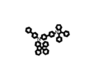 C1=CCCC(C2(c3ccccc3)C3=C(C=CCC3)c3ccc(N(c4ccc(-c5ccccc5)cc4)c4ccc(-c5ccc(N6C7=CCCC=C7C(c7ccccc7)C6c6ccccc6)cc5)cc4)cc32)=C1